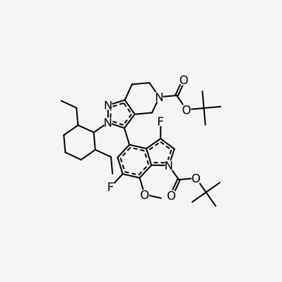 CCC1CCCC(CC)C1n1nc2c(c1-c1cc(F)c(OC)c3c1c(F)cn3C(=O)OC(C)(C)C)CN(C(=O)OC(C)(C)C)CC2